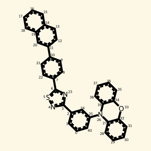 c1cc(-c2nsc(-c3ccc(-c4ccc5ccccc5c4)cc3)n2)cc(N2c3ccccc3Oc3ccccc32)c1